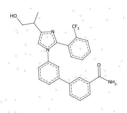 CC(CO)c1cn(-c2cccc(-c3cccc(C(N)=O)c3)c2)c(-c2ccccc2C(F)(F)F)n1